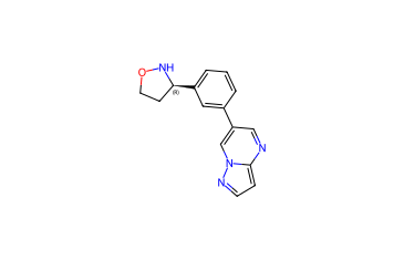 c1cc(-c2cnc3ccnn3c2)cc([C@H]2CCON2)c1